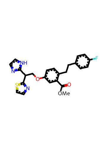 COC(=O)c1cc(OCC(c2ncc[nH]2)c2nccs2)ccc1CCc1ccc(F)cc1